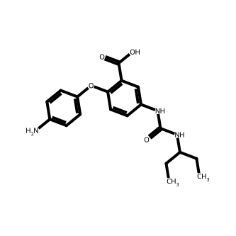 CCC(CC)NC(=O)Nc1ccc(Oc2ccc(N)cc2)c(C(=O)O)c1